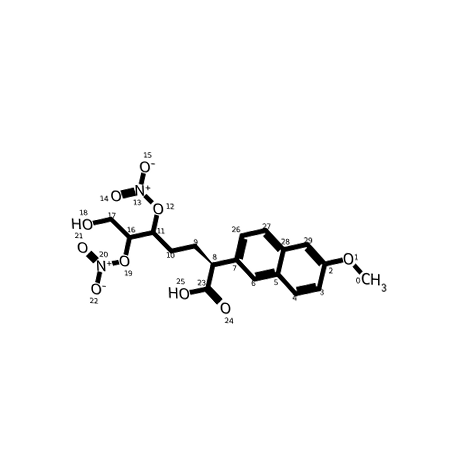 COc1ccc2cc([C@H](CCC(O[N+](=O)[O-])C(CO)O[N+](=O)[O-])C(=O)O)ccc2c1